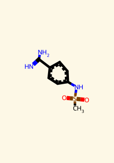 CS(=O)(=O)Nc1ccc(C(=N)N)cc1